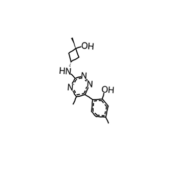 Cc1ccc(-c2nnc(N[C@H]3C[C@@](C)(O)C3)nc2C)c(O)c1